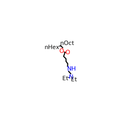 CCCCCCCCC(CCCCCC)COC(=O)CCCCCNCCN(CC)CC